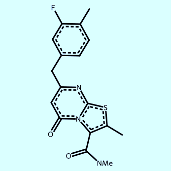 CNC(=O)c1c(C)sc2nc(Cc3ccc(C)c(F)c3)cc(=O)n12